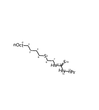 CCCCCCCCCCCCSCCNC(=S)NCCC